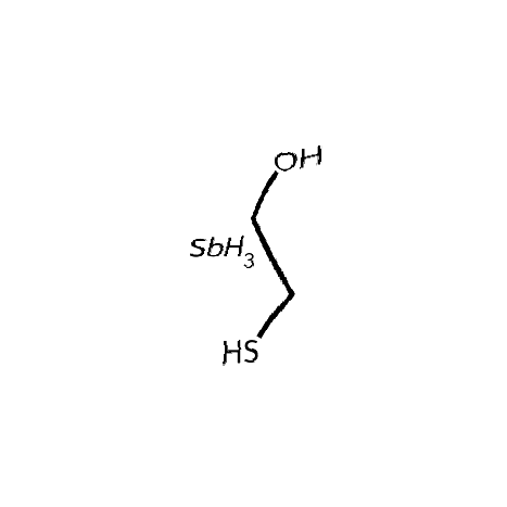 OCCS.[SbH3]